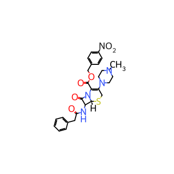 CN1CCN(C2=C(C(=O)OCc3ccc([N+](=O)[O-])cc3)N3C(=O)C(NC(=O)Cc4ccccc4)[C@H]3SC2)CC1